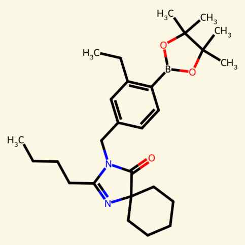 CCCCC1=NC2(CCCCC2)C(=O)N1Cc1ccc(B2OC(C)(C)C(C)(C)O2)c(CC)c1